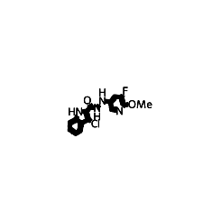 COc1ncc(NNC(=O)c2[nH]c3ccccc3c2Cl)cc1F